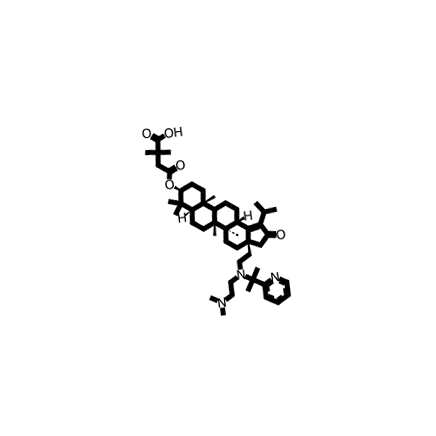 CC(C)C1=C2[C@H]3CCC4[C@@]5(C)CC[C@H](OC(=O)CC(C)(C)C(=O)O)C(C)(C)[C@@H]5CC[C@@]4(C)[C@]3(C)CC[C@@]2(CCN(CCN(C)C)C(C)(C)c2ccccn2)CC1=O